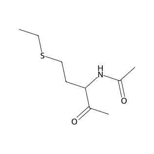 CCSCCC(NC(C)=O)C(C)=O